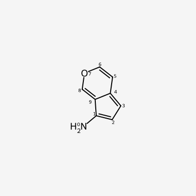 Nc1ccc2ccocc1-2